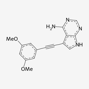 COc1cc(C#Cc2c[nH]c3ncnc(N)c23)cc(OC)c1